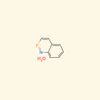 O.c1ccc2npccc2c1